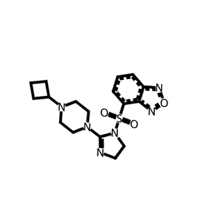 O=S(=O)(c1cccc2nonc12)N1CCN=C1N1CCN(C2CCC2)CC1